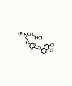 CN(CCOc1cnc(COc2cccc3c(Cl)c(Cl)ccc23)c(F)c1)C(C)(C)C.Cl